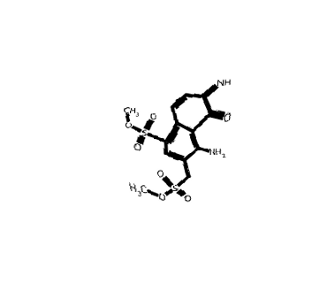 COS(=O)(=O)Cc1cc(S(=O)(=O)OC)c2c(c1N)C(=O)C(=N)C=C2